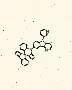 c1cncc(-n2c3ccc(N4c5ccccc5C5(c6ccccc6-c6ccccc65)c5ccccc54)cc3c3ncccc32)c1